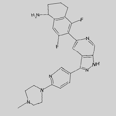 CN1CCN(c2ccc(-c3n[nH]c4cnc(-c5c(F)cc6c(c5F)CCCC6N)cc34)cn2)CC1